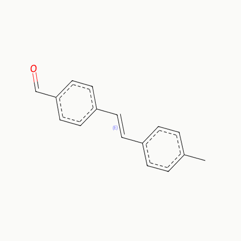 Cc1ccc(/C=C/c2ccc(C=O)cc2)cc1